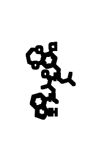 CC(C)CN(Cc1cc(Cl)c2c(c1)OCCCO2)C(=O)C(C)CN(C)c1cccc2cc[nH]c12